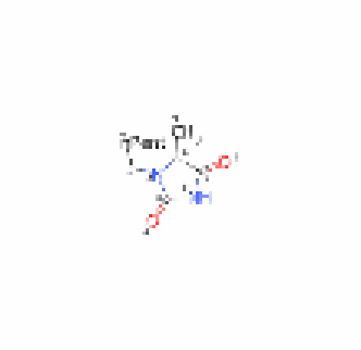 CCCCCCN1C(=O)NC(=O)C1C